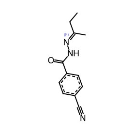 CC/C(C)=N/NC(=O)c1ccc(C#N)cc1